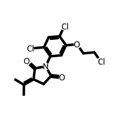 CC(C)=C1CC(=O)N(c2cc(OCCCl)c(Cl)cc2Cl)C1=O